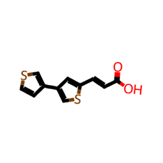 O=C(O)C=Cc1cc(-c2ccsc2)cs1